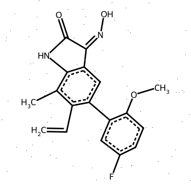 C=Cc1c(-c2cc(F)ccc2OC)cc2c(c1C)NC(=O)/C2=N\O